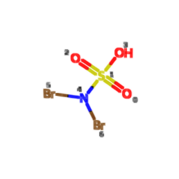 O=S(=O)(O)N(Br)Br